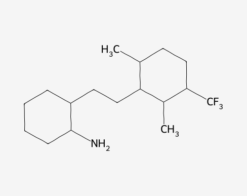 CC1CCC(C(F)(F)F)C(C)C1CCC1CCCCC1N